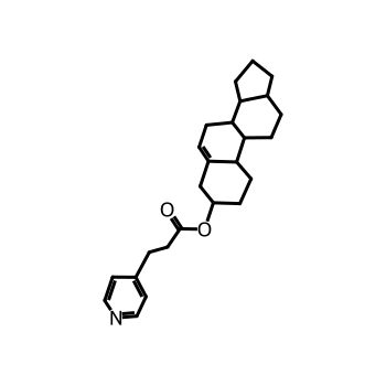 O=C(CCc1ccncc1)OC1CCC2C(=CCC3C4CCCC4CCC23)C1